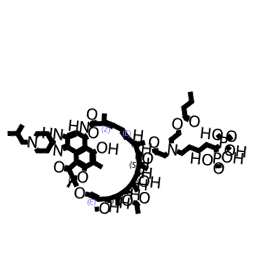 CCCC(=O)OCCN(CCCCC(P(=O)(O)O)P(=O)(O)O)CC(=O)O[C@@H]1[C@@H](C)[C@@H](O)[C@@H](C)[C@H](OC(C)=O)[C@H](C)[C@@H](OC)/C=C/O[C@@]2(C)Oc3c(C)c(O)c4c(c3C2=O)C2=NC3(CCN(CC(C)C)CC3)NC2=C(NC(=O)/C(C)=C\C=C\[C@@H]1C)C4=O